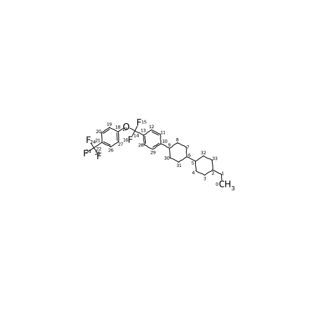 CCC1CCC(C2CCC(c3ccc(C(F)(F)Oc4ccc(C(F)(F)F)cc4)cc3)CC2)CC1